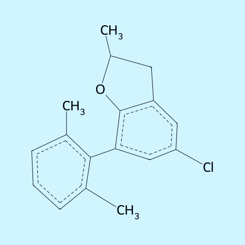 Cc1cccc(C)c1-c1cc(Cl)cc2c1OC(C)C2